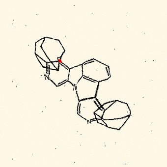 c1cc2c3c4c(ncc3n3c5cnc6c(c5c(c1)c23)C1CC2CC(CC6C2)C1)C1CC2CC(C1)CC4C2